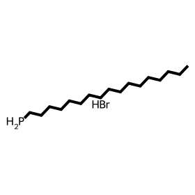 Br.CCCCCCCCCCCCCCCCCP